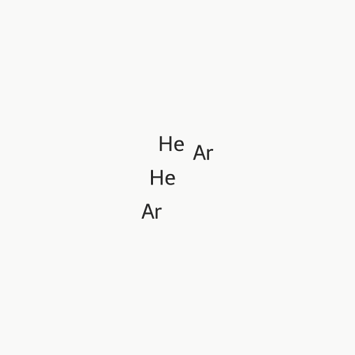 [Ar].[Ar].[He].[He]